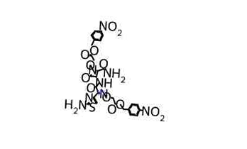 NC(=O)C1C(NC(=O)/C(=N/OCC(=O)OCc2ccc([N+](=O)[O-])cc2)c2csc(N)n2)C(=O)N1OCC(=O)OCc1ccc([N+](=O)[O-])cc1